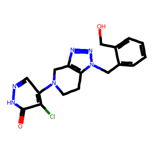 O=c1[nH]ncc(N2CCc3c(nnn3Cc3ccccc3CO)C2)c1Cl